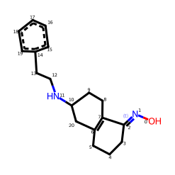 O/N=C1\CCCC2=C1CCC(NCCc1ccccc1)C2